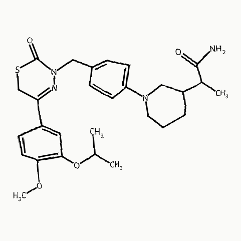 COc1ccc(C2=NN(Cc3ccc(N4CCCC(C(C)C(N)=O)C4)cc3)C(=O)SC2)cc1OC(C)C